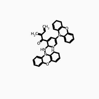 C=CC(=C)C(=O)C1=CC(N2C3=C(CCC=C3)Oc3ccccc32)=CNC1NN1C2=C(C=CCC2)Oc2ccccc21